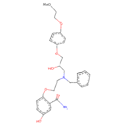 COCCOc1ccc(OCC(O)CN(CCOc2ccc(O)cc2C(N)=O)Cc2ccccc2)cc1